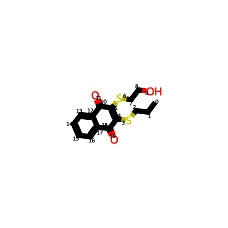 CCCSC1=C(SCCO)C(=O)c2ccccc2C1=O